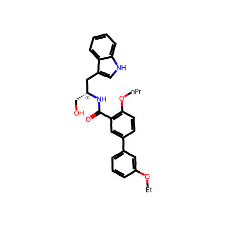 CCCOc1ccc(-c2cccc(OCC)c2)cc1C(=O)N[C@H](CO)Cc1c[nH]c2ccccc12